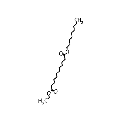 CCCCCCCCCOC(=O)CCCCCCCCCCC(=O)OCC